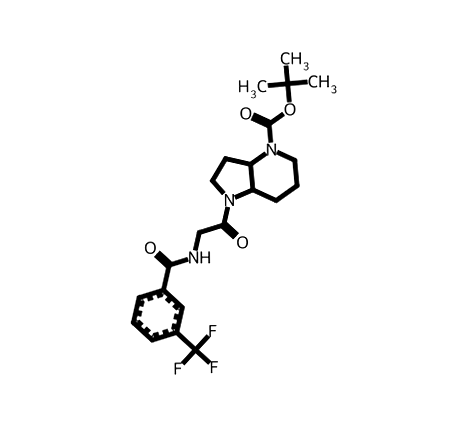 CC(C)(C)OC(=O)N1CCCC2C1CCN2C(=O)CNC(=O)c1cccc(C(F)(F)F)c1